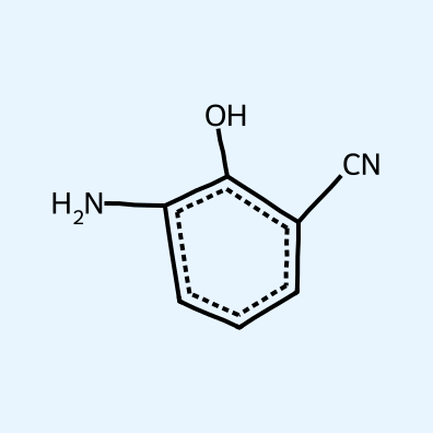 N#Cc1cccc(N)c1O